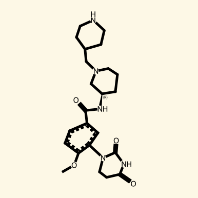 COc1ccc(C(=O)N[C@@H]2CCCN(CC3CCNCC3)C2)cc1N1CCC(=O)NC1=O